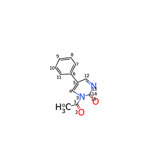 CC(=O)n1cc(-c2ccccc2)cnc1=O